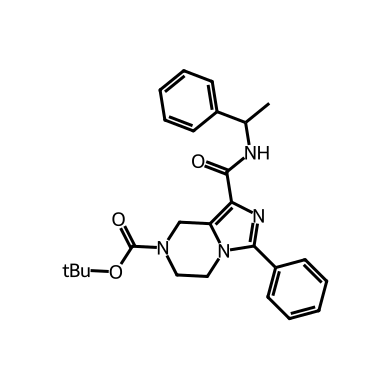 CC(NC(=O)c1nc(-c2ccccc2)n2c1CN(C(=O)OC(C)(C)C)CC2)c1ccccc1